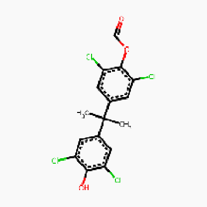 CC(C)(c1cc(Cl)c(O)c(Cl)c1)c1cc(Cl)c(OC=O)c(Cl)c1